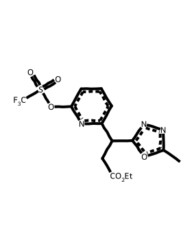 CCOC(=O)CC(c1cccc(OS(=O)(=O)C(F)(F)F)n1)c1nnc(C)o1